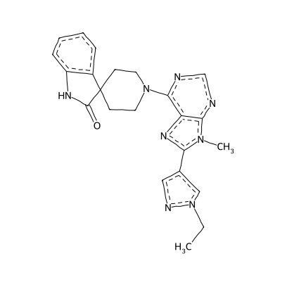 CCn1cc(-c2nc3c(N4CCC5(CC4)C(=O)Nc4ccccc45)ncnc3n2C)cn1